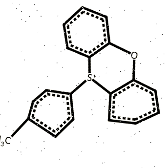 Cc1ccc([S+]2c3ccccc3Oc3ccccc32)cc1